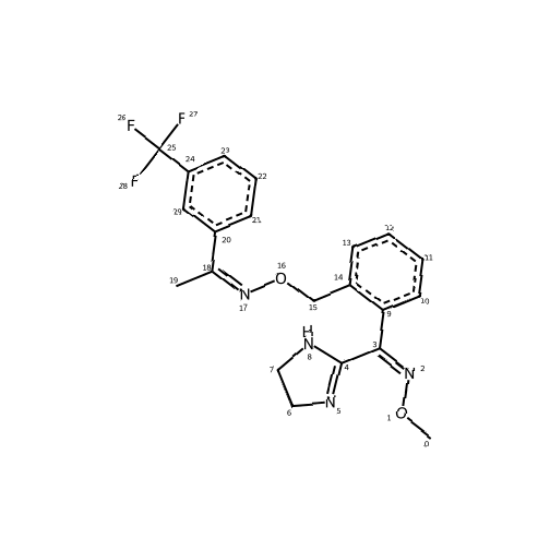 CON=C(C1=NCCN1)c1ccccc1CON=C(C)c1cccc(C(F)(F)F)c1